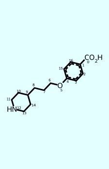 O=C(O)c1ccc(OCCCC2CCNCC2)cc1